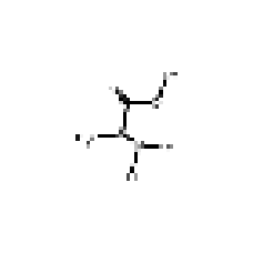 CCOC(=O)C(C)N(CC)CC